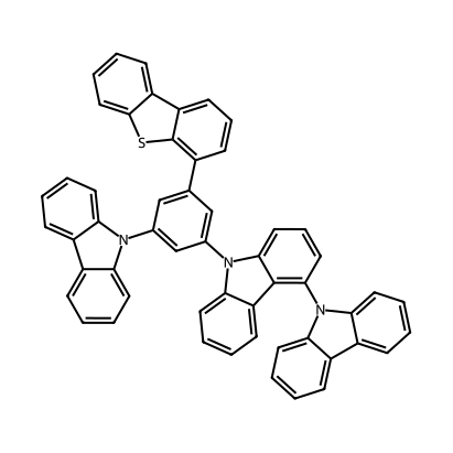 c1ccc2c(c1)sc1c(-c3cc(-n4c5ccccc5c5ccccc54)cc(-n4c5ccccc5c5c(-n6c7ccccc7c7ccccc76)cccc54)c3)cccc12